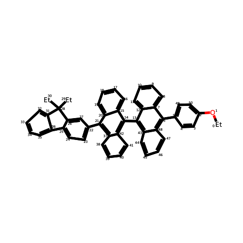 CCOc1ccc(-c2c3ccccc3c(-c3c4ccccc4c(-c4ccc5c(c4)C(CC)(CC)c4ccccc4-5)c4ccccc34)c3ccccc23)cc1